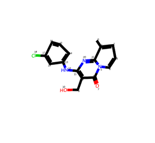 Cc1cccn2c(=O)c(CO)c(Nc3cccc(Cl)c3)nc12